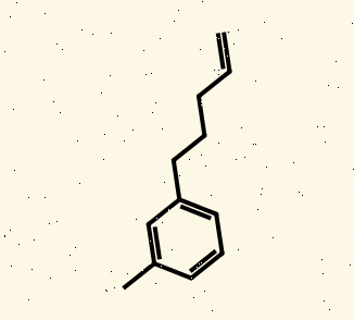 [CH]=CCCCc1cccc(C)c1